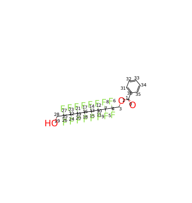 O=C(OCC(F)(F)C(F)(F)C(F)(F)C(F)(F)C(F)(F)C(F)(F)C(F)(F)C(F)(F)CO)c1ccccc1